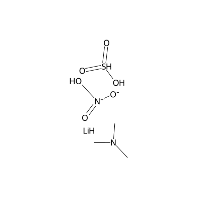 CN(C)C.O=[N+]([O-])O.O=[SH](=O)O.[LiH]